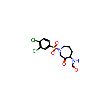 O=CNC1CCCN(S(=O)(=O)c2ccc(Cl)c(Cl)c2)CC1=O